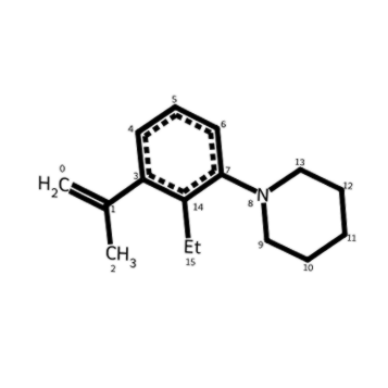 C=C(C)c1cccc(N2CCCCC2)c1CC